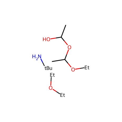 CC(C)(C)N.CCOC(C)OC(C)O.CCOCC